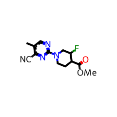 COC(=O)C1CCN(c2ncc(C)c(C#N)n2)CC1F